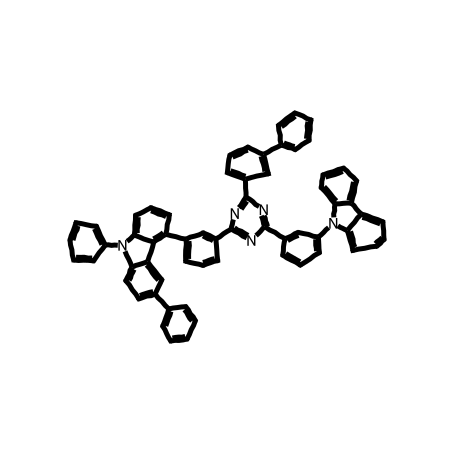 c1ccc(-c2cccc(-c3nc(-c4cccc(-c5cccc6c5c5cc(-c7ccccc7)ccc5n6-c5ccccc5)c4)nc(-c4cccc(-n5c6ccccc6c6ccccc65)c4)n3)c2)cc1